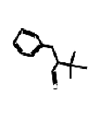 CC(C)(C)C(C=O)Cc1ccccc1